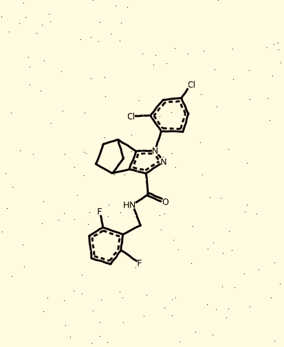 O=C(NCc1c(F)cccc1F)c1nn(-c2ccc(Cl)cc2Cl)c2c1C1CCC2C1